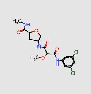 CNC(=O)[C@@H]1C[C@H](NC(=O)C(OC)C(=O)Nc2cc(Cl)cc(Cl)c2)CO1